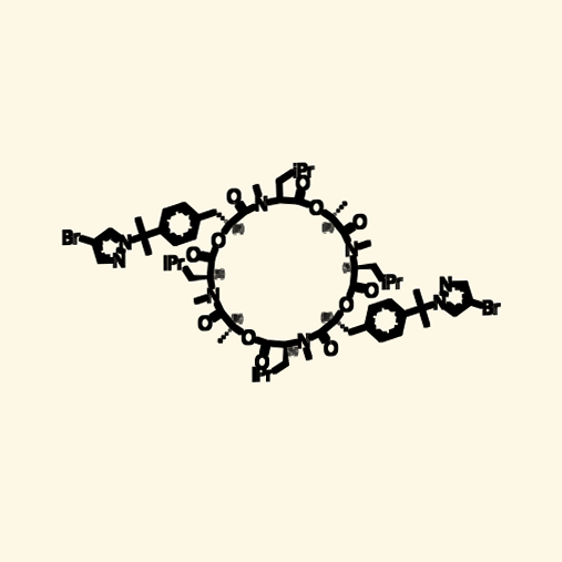 CC(C)CC1C(=O)O[C@H](C)C(=O)N(C)[C@@H](CC(C)C)C(=O)O[C@H](Cc2ccc(C(C)(C)n3cc(Br)cn3)cc2)C(=O)N(C)[C@@H](CC(C)C)C(=O)O[C@H](C)C(=O)N(C)[C@@H](CC(C)C)C(=O)O[C@H](Cc2ccc(C(C)(C)n3cc(Br)cn3)cc2)C(=O)N1C